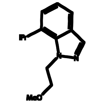 COCCn1ncc2cccc(C(C)C)c21